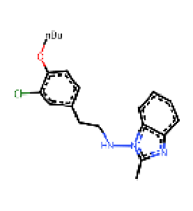 CCCCOc1ccc(CCNn2c(C)nc3ccccc32)cc1Cl